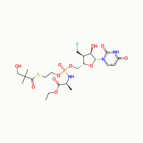 CCOC(=O)[C@H](C)NP(=O)(OCCSC(=O)C(C)(C)CO)OC[C@H]1O[C@@H](n2ccc(=O)[nH]c2=O)[C@H](O)[C@@H]1CF